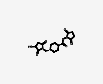 O=C1CC(S)C(=O)N1C[C@H]1CC[C@H](C(=O)ON2C(=O)CCC2=O)CC1